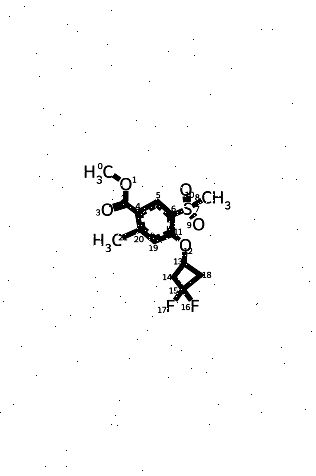 COC(=O)c1cc(S(C)(=O)=O)c(OC2CC(F)(F)C2)cc1C